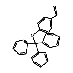 C=Cc1ccc(OC(c2ccccc2)(c2ccccc2)c2ccccc2)cc1